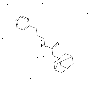 O=C(CC12CC3CC(CC(C3)C1)C2)NCCCc1ccccc1